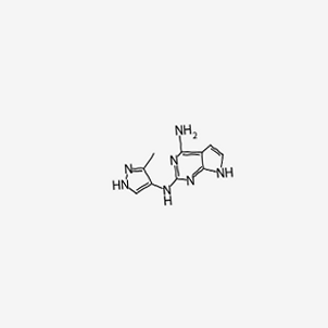 Cc1n[nH]cc1Nc1nc(N)c2cc[nH]c2n1